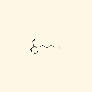 C=Cc1cncn1CCCC